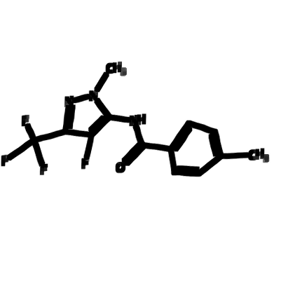 Cc1ccc(C(=O)Nc2c(F)c(C(F)(F)F)nn2C)cc1